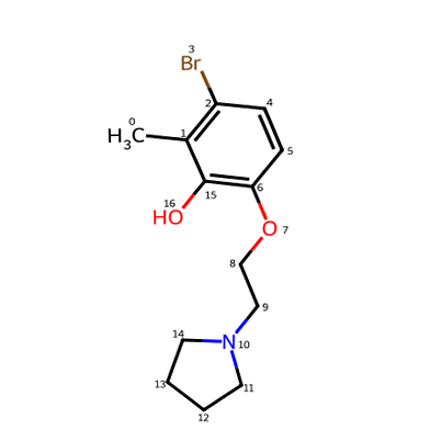 Cc1c(Br)ccc(OCCN2CCCC2)c1O